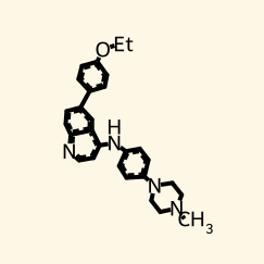 CCOc1ccc(-c2ccc3nccc(Nc4ccc(N5CCN(C)CC5)cc4)c3c2)cc1